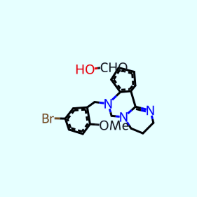 COc1ccc(Br)cc1CN1CN2CCCN=C2c2ccccc21.O=CO